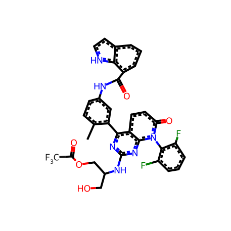 Cc1ccc(NC(=O)c2cccc3cc[nH]c23)cc1-c1nc(NC(CO)COC(=O)C(F)(F)F)nc2c1ccc(=O)n2-c1c(F)cccc1F